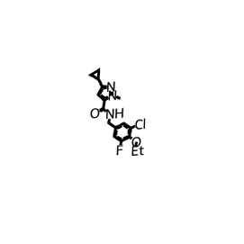 CCOc1c(F)cc(CNC(=O)c2cc(C3CC3)nn2C)cc1Cl